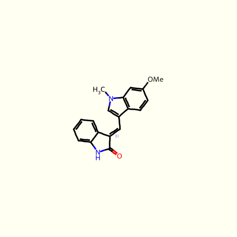 COc1ccc2c(/C=C3/C(=O)Nc4ccccc43)cn(C)c2c1